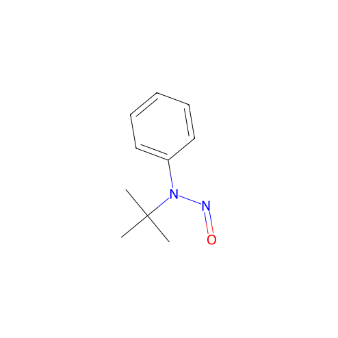 CC(C)(C)N(N=O)c1ccccc1